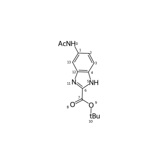 CC(=O)Nc1ccc2[nH]c(C(=O)OC(C)(C)C)nc2c1